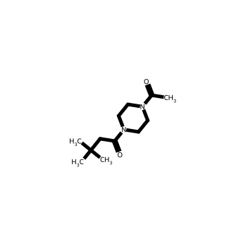 CC(=O)N1CCN(C(=O)[CH]C(C)(C)C)CC1